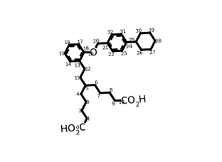 O=C(O)CCCCC(CCCCC(=O)O)CCc1ccccc1OCc1ccc(C2CCCCC2)cc1